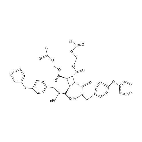 CCCN(Cc1ccc(Oc2ccccc2)cc1)C(=O)[C@H]1[C@@H](C(=O)OCOC(=O)CC)[C@H](C(=O)OCOC(=O)CC)[C@@H]1C(=O)N(CCC)Cc1ccc(Oc2ccccc2)cc1